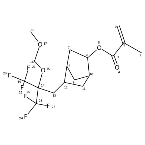 C=C(C)C(=O)OC1CC2CC1CC2CC(OCOC)(C(F)(F)F)C(F)(F)F